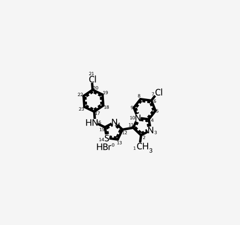 Br.Cc1nc2cc(Cl)ccn2c1-c1csc(Nc2ccc(Cl)cc2)n1